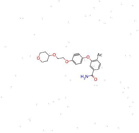 CC(=O)c1ccc(C(N)=O)cc1Oc1c#cc(OCCOC2CCOCC2)cc1